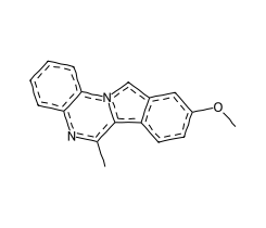 COc1ccc2c(c1)cn1c3ccccc3nc(C)c21